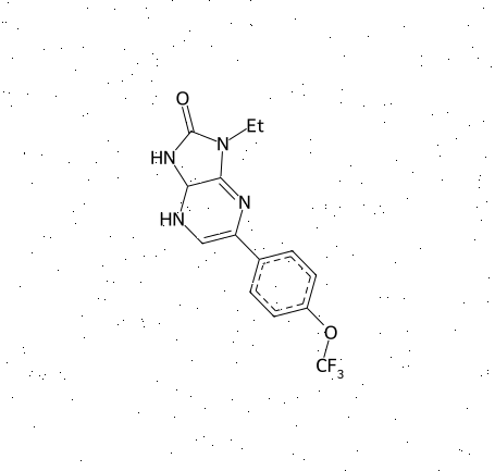 CCN1C(=O)NC2NC=C(c3ccc(OC(F)(F)F)cc3)N=C21